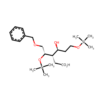 C[Si](C)(C)OCC[C@H](O)[C@H](CC(=O)O)[C@@H](COCc1ccccc1)O[Si](C)(C)C